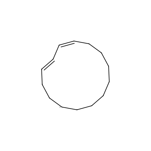 [CH]1CC/C=C/C=C\CCCCCCC1